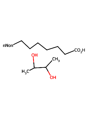 CC(O)C(C)O.CCCCCCCCCCCCCCCC(=O)O